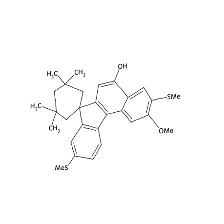 COc1cc2c3c(cc(O)c2cc1SC)C1(CC(C)(C)CC(C)(C)C1)c1cc(SC)ccc1-3